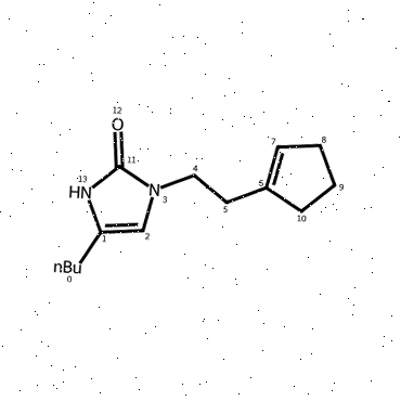 CCCCc1cn(CCC2=CCCC2)c(=O)[nH]1